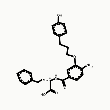 Nc1ccc(C(=O)N[C@@H](CCc2ccccc2)C(=O)O)cc1OCCCc1ccc(O)cc1